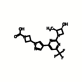 C[C@H]1[C@H](O)CN1c1nc(-c2cnn(C3CN(C(=O)O)C3)c2)cc(C(F)(F)F)n1